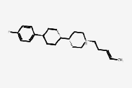 CC=CCC[Si@H]1CC[C@H]([C@H]2CC[C@H](c3ccc(F)cc3)CC2)CC1